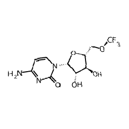 Nc1ccn([C@@H]2O[C@H](COC(F)(F)F)[C@@H](O)[C@@H]2O)c(=O)n1